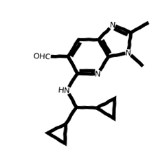 Cc1nc2cc(C=O)c(NC(C3CC3)C3CC3)nc2n1C